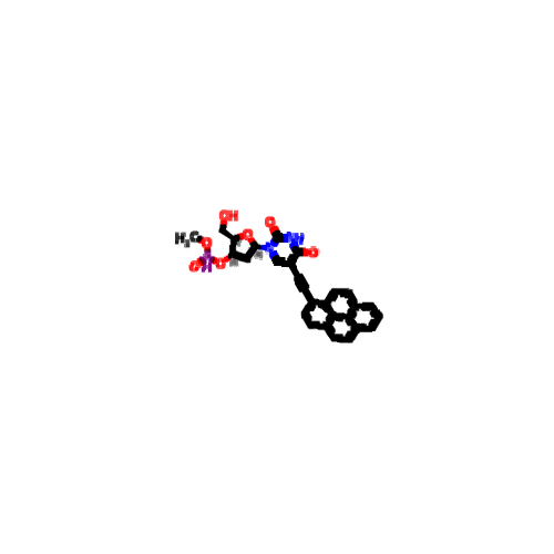 CO[PH](=O)O[C@@H]1C[C@H](n2cc(C#Cc3ccc4ccc5cccc6ccc3c4c56)c(=O)[nH]c2=O)O[C@@H]1CO